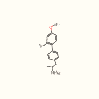 CCCOc1ccc(-c2ccc(CC(C)NC(C)=O)cc2)c(C#N)c1